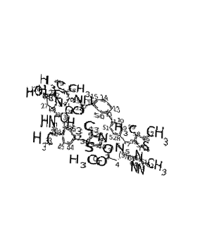 COC(=O)C[C@@H]1N=C(c2ccc(-c3cccc(C(=O)NC(C(=O)N4C[C@H](O)C[C@H]4C(=O)N[C@@H](C)c4ccc(-c5scnc5C)cc4)C(C)(C)C)c3)cc2)c2c(sc(C)c2C)-n2c(C)nnc21